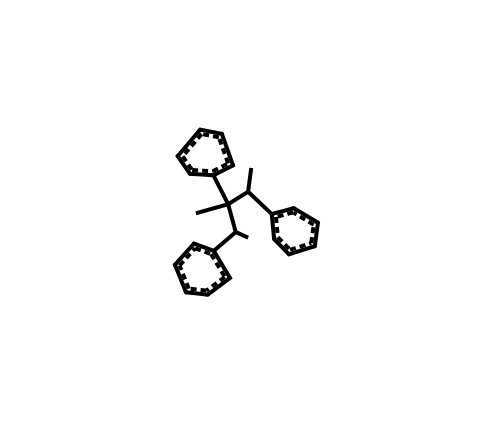 CC(c1ccccc1)C(C)(c1ccccc1)C(C)c1ccccc1